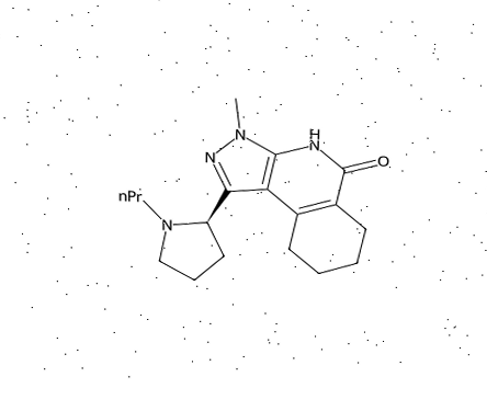 CCCN1CCC[C@@H]1c1nn(C)c2[nH]c(=O)c3c(c12)CCCC3